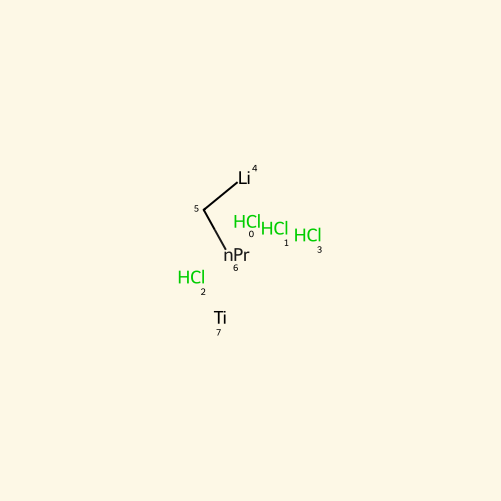 Cl.Cl.Cl.Cl.[Li][CH2]CCC.[Ti]